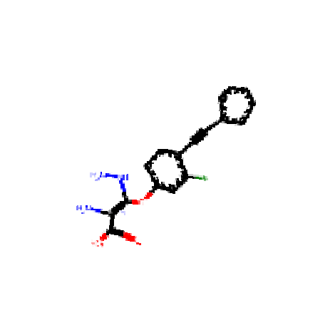 NN/C(Oc1ccc(C#Cc2ccccc2)c(F)c1)=C(\N)C(=O)O